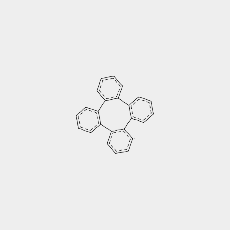 [c]1cccc2c1-c1ccccc1-c1ccccc1-c1ccccc1-2